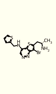 C[C@H](N)Cc1sc2c(NCc3cccs3)cnnc2c1Br